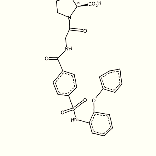 O=C(NCC(=O)N1CCC[C@H]1C(=O)O)c1ccc(S(=O)(=O)Nc2ccccc2Oc2ccccc2)cc1